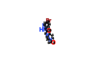 CC(=O)N1CCCN(CC(=O)Nc2ccc(Br)cn2)CC1